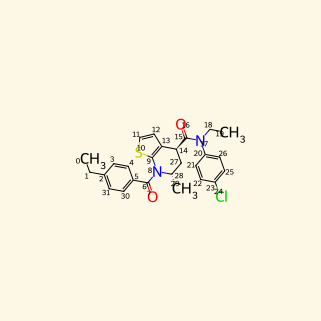 CCc1ccc(C(=O)N2c3sccc3[C@@H](C(=O)N(CC)c3ccc(Cl)cc3)C[C@@H]2C)cc1